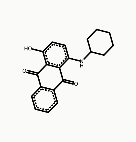 O=C1c2ccccc2C(=O)c2c(NC3CCCCC3)ccc(O)c21